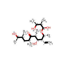 C=C[C@H]([C@H](O)[C@@H](C)C(=O)[C@H](C)C[C@H](C)[C@H](O)CC)[C@@H](CC)O[C@H](O)[C@H](C)[C@H](C)O